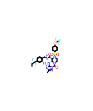 CCC(F)(F)c1ccc(CNC(=O)[C@H]2CN(C(=O)n3nc(C)nc3N)CCN2S(=O)(=O)c2ccc(OC(F)(F)F)cc2)cc1